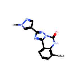 CCn1cc(-c2nc3c4cccc(OC)c4[nH]c(=O)n3n2)cn1